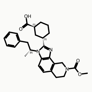 COC(=O)N1CCc2ccc3c(nc([C@H]4CCC[C@H](C(=O)O)C4)n3[C@H](C)Cc3ccccc3)c2C1